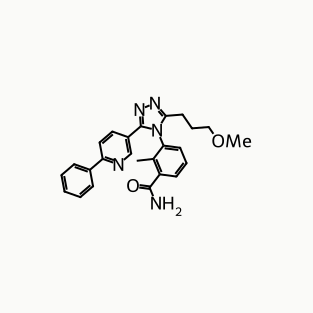 COCCCc1nnc(-c2ccc(-c3ccccc3)nc2)n1-c1cccc(C(N)=O)c1C